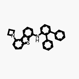 c1ccc(-c2cccc(Nc3cccc4c3sc3cccc(N5CCC5)c34)c2-c2ccccc2)cc1